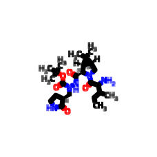 CCC(C)C(N)C(=O)N1C[C@H]2[C@@H]([C@H]1C(=O)NN(C[C@@H]1CCNC1=O)C(=O)OC(C)(C)C)C2(C)C